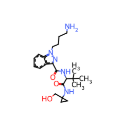 CC(C)(C)[C@H](NC(=O)c1nn(CCCCN)c2ccccc12)C(=O)NC1(CO)CC1